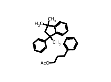 CC(=O)OCCCc1ccccc1.CC1(C)CC(C)(c2ccccc2)c2ccccc21